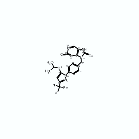 CC(C)Oc1cc(C(F)(F)F)nn1-c1ccc(Cn2c(=O)[nH]c3cnc(Cl)nc32)cc1